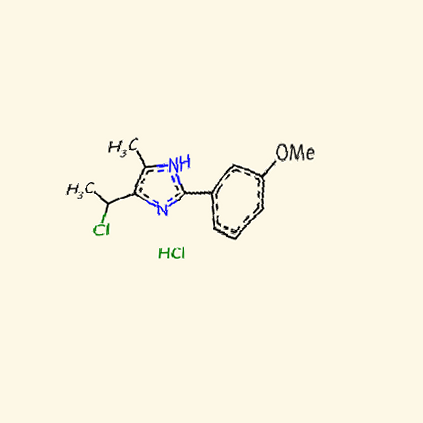 COc1cccc(-c2nc(C(C)Cl)c(C)[nH]2)c1.Cl